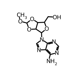 COC1OC2C(CO)OC(n3cnc4c(N)ncnc43)C2O1